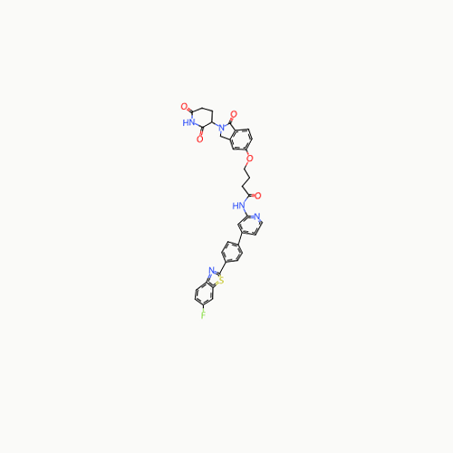 O=C1CCC(N2Cc3cc(OCCCC(=O)Nc4cc(-c5ccc(-c6nc7ccc(F)cc7s6)cc5)ccn4)ccc3C2=O)C(=O)N1